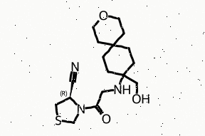 N#C[C@@H]1CSCN1C(=O)CNC1(CO)CCC2(CCOCC2)CC1